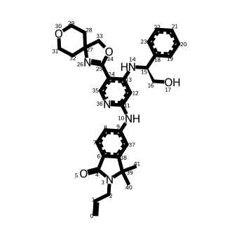 C=CCN1C(=O)c2ccc(Nc3cc(N[C@H](CO)c4ccccc4)c(C4=NC5(CCOCC5)CO4)cn3)cc2C1(C)C